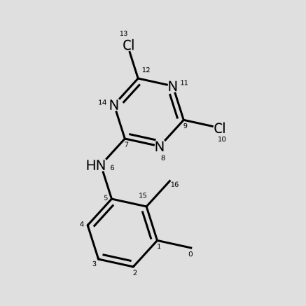 Cc1cccc(Nc2nc(Cl)nc(Cl)n2)c1C